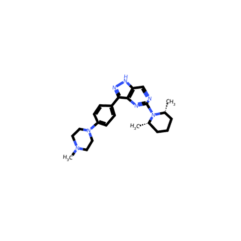 C[C@@H]1CCC[C@H](C)N1c1ncc2[nH]nc(-c3ccc(N4CCN(C)CC4)cc3)c2n1